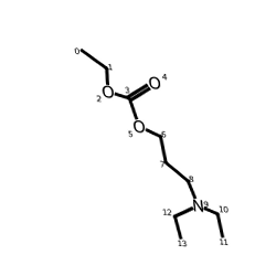 CCOC(=O)OCCCN(CC)CC